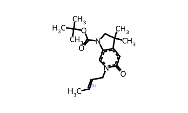 C/C=C/Cn1cc2c(cc1=O)C(C)(C)CN2C(=O)OC(C)(C)C